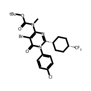 CN(C(=O)OC(C)(C)C)c1nc([C@H]2CC[C@@H](C(F)(F)F)CC2)n(-c2ccc(Cl)cc2)c(=O)c1Br